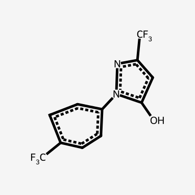 Oc1cc(C(F)(F)F)nn1-c1ccc(C(F)(F)F)cc1